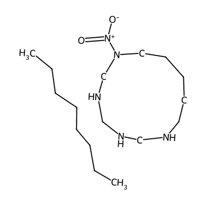 CCCCCCCC.O=[N+]([O-])N1CCCCCNCNCNC1